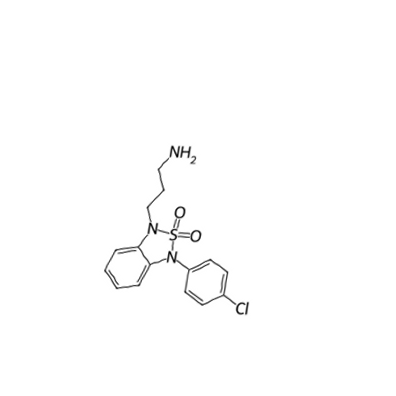 NCCCN1c2ccccc2N(c2ccc(Cl)cc2)S1(=O)=O